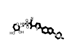 C/C(=C(/C#N)S(=O)(=O)NC[C@H]1OCC[C@@H](O)[C@@H]1O)c1ccc(-c2ccc3cc(N4CCN(C)CC4)ccc3c2)s1